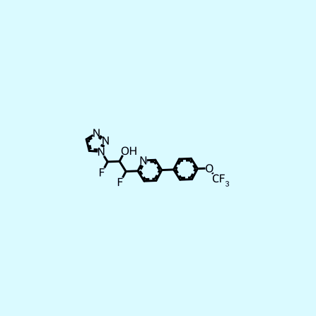 OC(C(F)c1ccc(-c2ccc(OC(F)(F)F)cc2)cn1)C(F)n1ccnn1